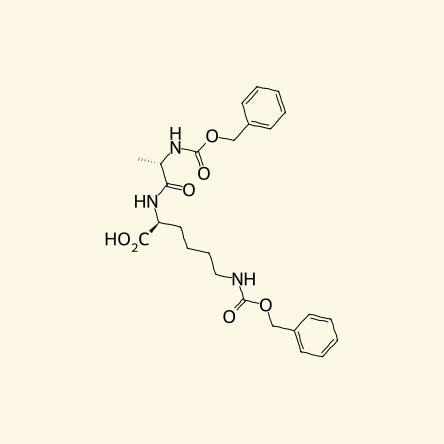 C[C@H](NC(=O)OCc1ccccc1)C(=O)N[C@@H](CCCCNC(=O)OCc1ccccc1)C(=O)O